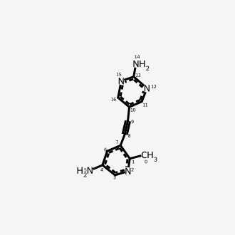 Cc1ncc(N)cc1C#Cc1cnc(N)nc1